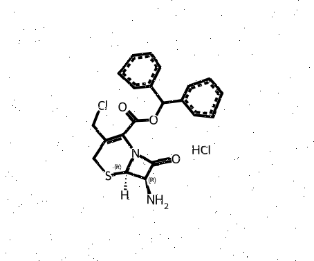 Cl.N[C@@H]1C(=O)N2C(C(=O)OC(c3ccccc3)c3ccccc3)=C(CCl)CS[C@H]12